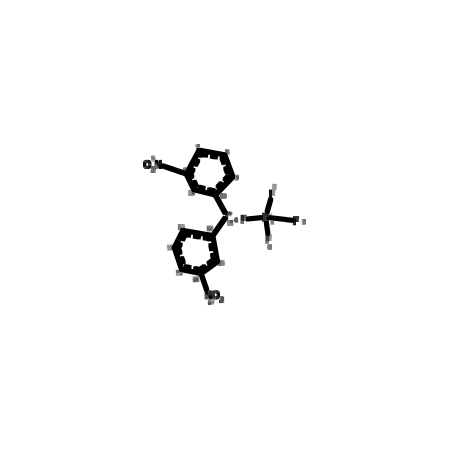 F[B-](F)(F)F.O=[N+]([O-])c1cccc([I+]c2cccc([N+](=O)[O-])c2)c1